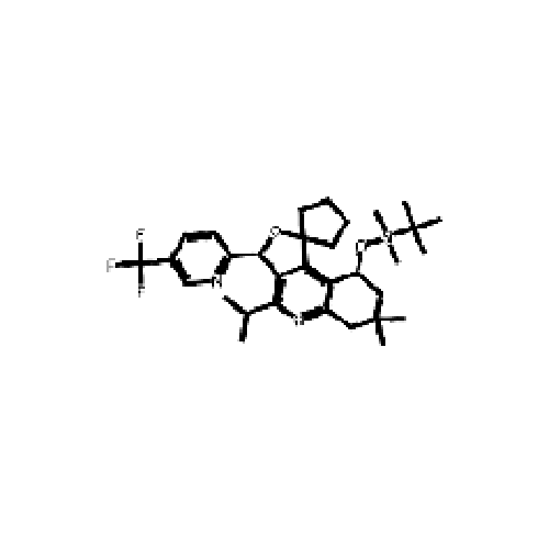 CC(C)c1nc2c(c3c1[C@@H](c1ccc(C(F)(F)F)cn1)OC31CCCC1)[C@@H](O[Si](C)(C)C(C)(C)C)CC(C)(C)C2